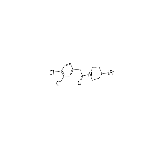 CC(C)C1CCN(C(=O)Cc2ccc(Cl)c(Cl)c2)CC1